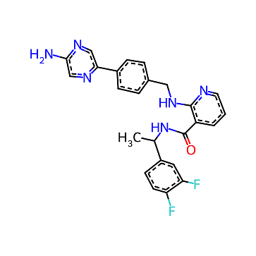 CC(NC(=O)c1cccnc1NCc1ccc(-c2cnc(N)cn2)cc1)c1ccc(F)c(F)c1